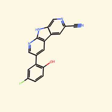 N#Cc1cc2c(cn1)[nH]c1ncc(-c3cc(F)ccc3O)cc12